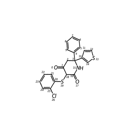 O=C1CC(c2ccccc2)(c2ccsc2)NC(=O)C1Sc1ccccc1Cl